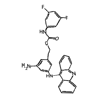 Nc1cc(COC(=O)Nc2cc(F)cc(F)c2)cc(Nc2c3ccccc3nc3ccccc23)c1